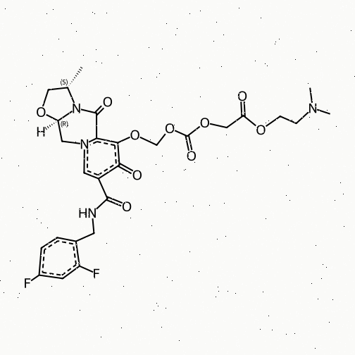 C[C@H]1CO[C@@H]2Cn3cc(C(=O)NCc4ccc(F)cc4F)c(=O)c(OCOC(=O)OCC(=O)OCCN(C)C)c3C(=O)N12